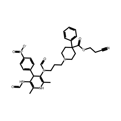 CC1=C(NC=O)C(c2ccc([N+](=O)[O-])cc2)C(N(C=O)CCCN2CCC(C(=O)OCCC#N)(c3ccccc3)CC2)=C(C)N1